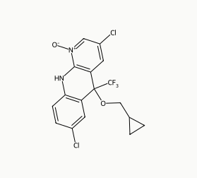 [O-][n+]1cc(Cl)cc2c1Nc1ccc(Cl)cc1C2(OCC1CC1)C(F)(F)F